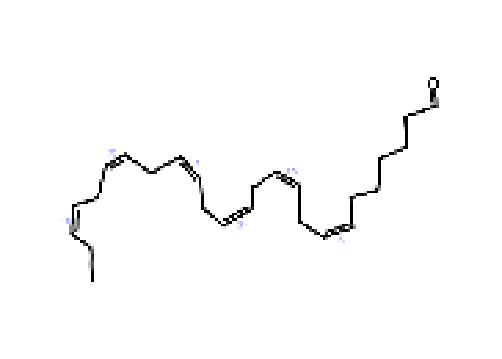 CC/C=C\C/C=C\C/C=C\C/C=C\C/C=C\C/C=C\CCCCCC=O